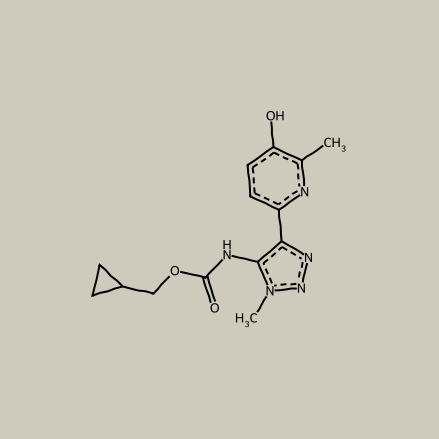 Cc1nc(-c2nnn(C)c2NC(=O)OCC2CC2)ccc1O